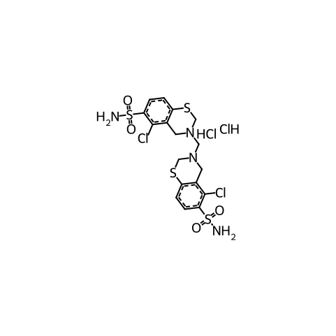 Cl.Cl.NS(=O)(=O)c1ccc2c(c1Cl)CN(CN1CSc3ccc(S(N)(=O)=O)c(Cl)c3C1)CS2